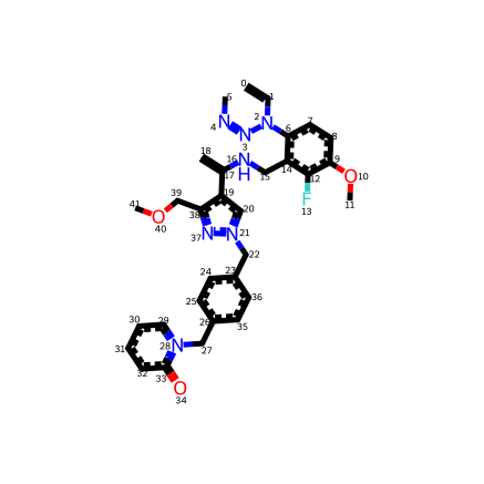 C=CN(/N=N\C)c1ccc(OC)c(F)c1CNC(=C)c1cn(Cc2ccc(Cn3ccccc3=O)cc2)nc1COC